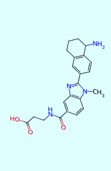 Cn1c(-c2ccc3c(c2)CCCC3N)nc2cc(C(=O)NCCC(=O)O)ccc21